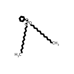 CCCCCCCCCCCCCCOP(OCCCCCCCCCCCCCC)Oc1ccccc1